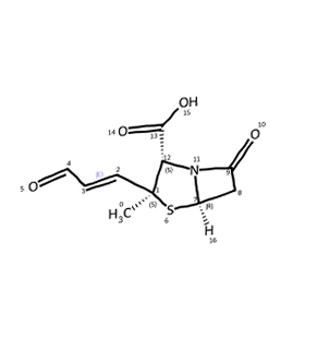 C[C@@]1(/C=C/C=O)S[C@@H]2CC(=O)N2[C@H]1C(=O)O